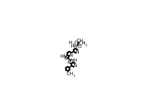 Cc1cccc(-c2cncc3[nH]c(-c4n[nH]c5ccc(-c6cncc(NC(=O)C(C)(C)C)c6)nc45)nc23)c1